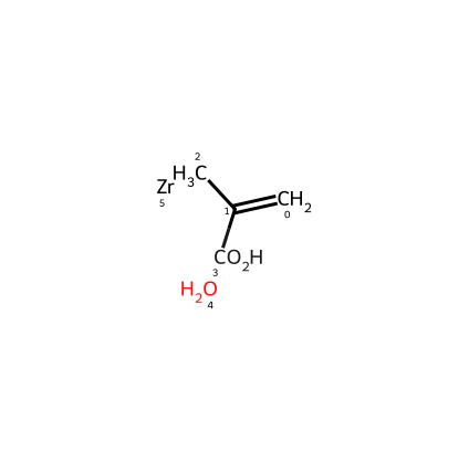 C=C(C)C(=O)O.O.[Zr]